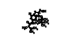 C[C@H](C(=O)Nc1cc(F)c2c(c1)C(O[Si](C)(C)C(C)(C)C)C(CO)C2)N(C)C